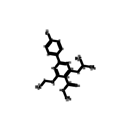 CCOc1nc(-c2ccc(Cl)cc2)nc(CC(C)C)c1C(=O)OC